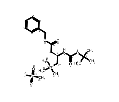 CC(C)(C)OC(=O)N[C@H](CC(=O)OCc1ccccc1)C[N+](C)(C)C.CS(=O)(=O)[O-]